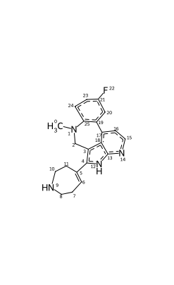 CN1Cc2c(C3=CCCNCC3)[nH]c3nccc(c23)-c2cc(F)ccc21